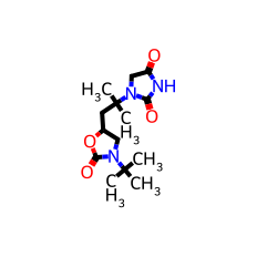 CC(C)(C)N1CC(CC(C)(C)N2CC(=O)NC2=O)OC1=O